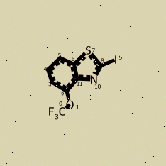 FC(F)(F)Oc1cccc2sc(I)nc12